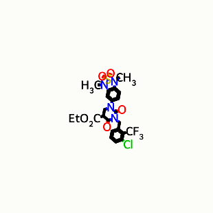 CCOC(=O)C1CN(c2ccc3c(c2)N(C)S(=O)(=O)N3C)C(=O)N(Cc2cccc(Cl)c2C(F)(F)F)C1=O